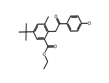 CCOC(=O)c1cc(C(C)(C)C)cc(C)c1CC(=O)c1ccc(Cl)cc1